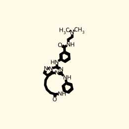 CN(C)CCNC(=O)c1cccc(Nc2nc3nc4c(cnn24)CCCCC(=O)Nc2cccc(c2)N3)c1